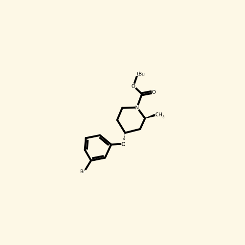 C[C@H]1C[C@H](Oc2cccc(Br)c2)CCN1C(=O)OC(C)(C)C